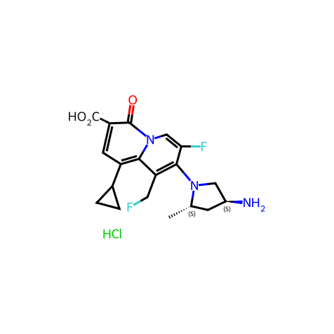 C[C@H]1C[C@H](N)CN1c1c(F)cn2c(=O)c(C(=O)O)cc(C3CC3)c2c1CF.Cl